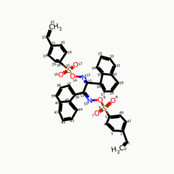 C=Cc1ccc(S(=O)(=O)O/N=C(\C(=N/OS(=O)(=O)c2ccc(C=C)cc2)c2cccc3ccccc23)c2cccc3ccccc23)cc1